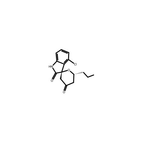 CCC[C@@H]1CC(=O)C[C@@]2(O1)C(=O)Nc1cccc(Cl)c12